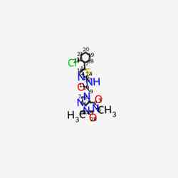 Cn1c(=O)c2c(ncn2CC(=O)Nc2ncc(-c3ccccc3Cl)s2)n(C)c1=O